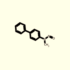 CN(N=O)c1ccc(-c2ccccc2)cc1